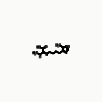 CNC(=NCCSCc1nc[nH]c1C)S(=O)O